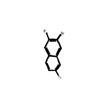 Clc1ccc2cc(Br)c(Br)cc2c1